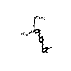 CCCCCCCCCCCCOc1ccc(C=Cc2ccc(C=Cc3ccc(C)c(C)c3)cc2)cc1OCCCCCCCCCCCC